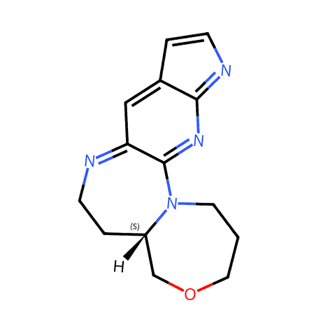 C1=Cc2cc3c(nc2=N1)N1CCCOC[C@@H]1CCN=3